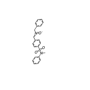 CN(c1ccccc1)S(=O)(=O)c1ccc(C=[N+]([O-])Cc2ccccc2)cc1